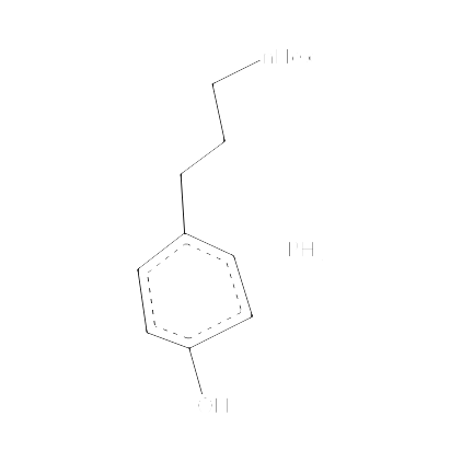 CCCCCCCCCc1ccc(O)cc1.P